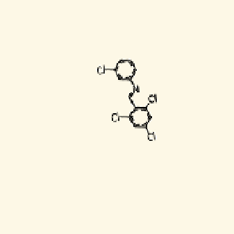 Clc1cccc(/N=C/c2c(Cl)cc(Cl)cc2Cl)c1